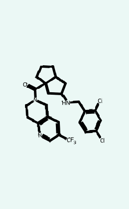 O=C(N1CCc2ncc(C(F)(F)F)cc2C1)C12CCCC1CC(NCc1ccc(Cl)cc1Cl)C2